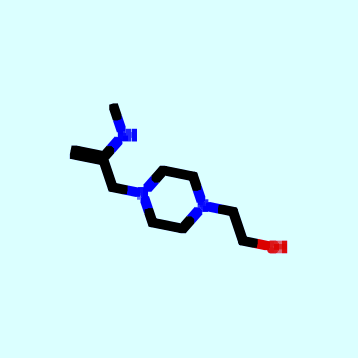 C=C(CN1CCN(CCO)CC1)NC